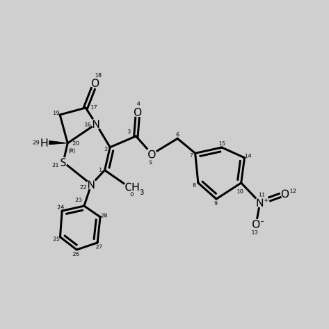 CC1=C(C(=O)OCc2ccc([N+](=O)[O-])cc2)N2C(=O)C[C@H]2SN1c1ccccc1